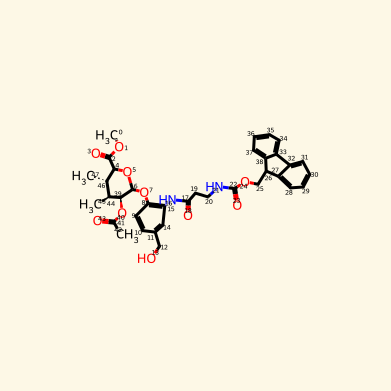 COC(=O)C1OC(Oc2ccc(CO)cc2NC(=O)CCNC(=O)OCC2c3ccccc3-c3ccccc32)[C@@H](OC(C)=O)[C@@H](C)[C@@H]1C